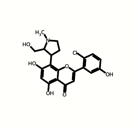 CN1CCC(c2c(O)cc(O)c3c(=O)cc(-c4cc(O)ccc4Cl)oc23)C1CO